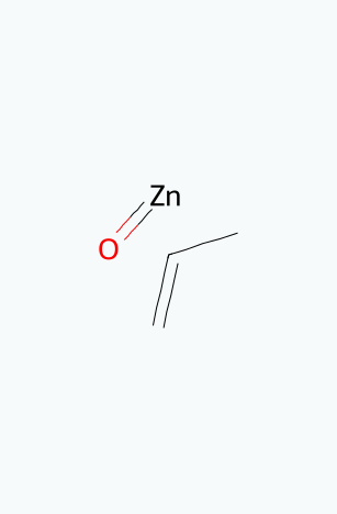 C=CC.[O]=[Zn]